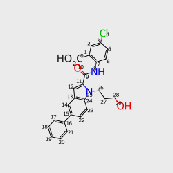 O=C(O)c1cc(Cl)ccc1NC(=O)c1cc2cc(-c3ccccc3)ccc2n1CCCO